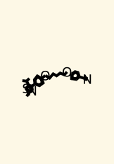 Cc1nc(-c2ccc(OCCCCCOc3ccc(C#N)cc3)cc2)c(C(C)C)s1